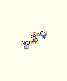 N#C/C(=C\c1ccc(-c2oc3cccc4c5c(-c6ccc(/C=C(\C#N)C7=NCCC=C7)s6)oc6cccc(c2c34)c65)s1)C1=CCCC=N1